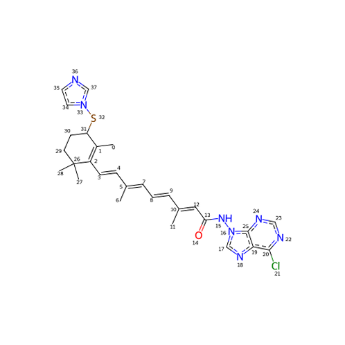 CC1=C(/C=C/C(C)=C/C=C/C(C)=C/C(=O)Nn2cnc3c(Cl)ncnc32)C(C)(C)CCC1Sn1ccnc1